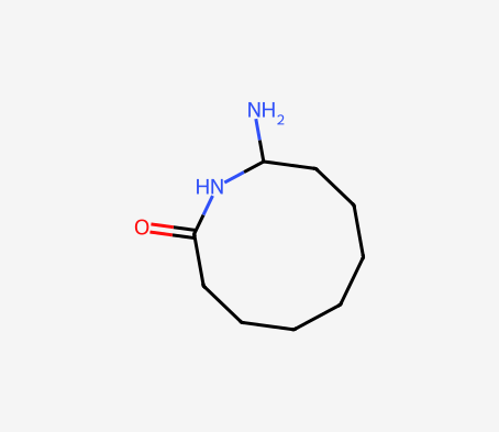 NC1CCCCCCCC(=O)N1